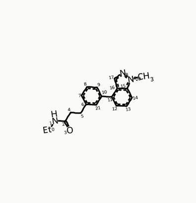 CCNC(=O)CCc1cccc(-c2cccc3c2cnn3C)c1